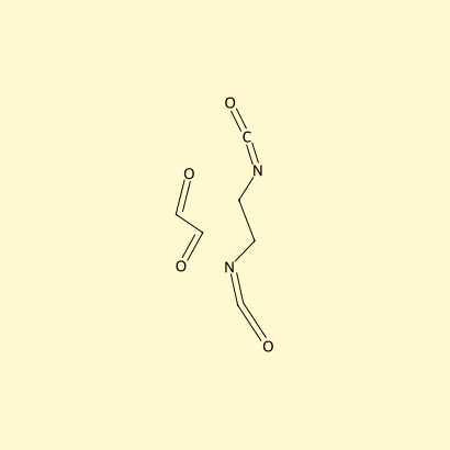 O=C=NCCN=C=O.O=CC=O